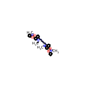 CCN(c1ccccc1)S(=O)(=O)c1ccc2c3c(cccc13)C(/C=C/C=C/C=c1/c3cccc4c(S(=O)(=O)N(CC)c5ccccc5)ccc(c43)n1CC)=[N+]2CC